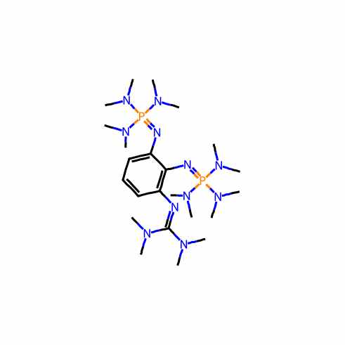 CN(C)C(=Nc1cccc(N=P(N(C)C)(N(C)C)N(C)C)c1N=P(N(C)C)(N(C)C)N(C)C)N(C)C